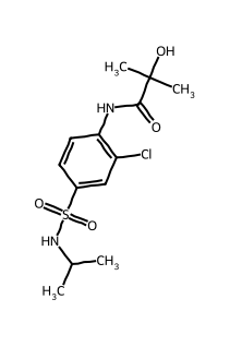 CC(C)NS(=O)(=O)c1ccc(NC(=O)C(C)(C)O)c(Cl)c1